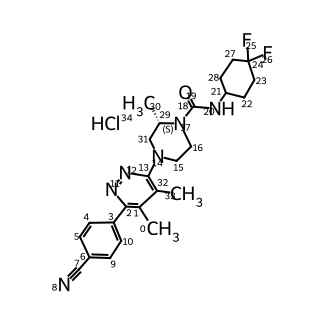 Cc1c(-c2ccc(C#N)cc2)nnc(N2CCN(C(=O)NC3CCC(F)(F)CC3)[C@@H](C)C2)c1C.Cl